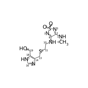 CNC1=NS(=O)(=O)N=C1NCCSCc1nc[nH]c1CO